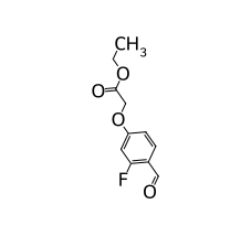 CCOC(=O)COc1ccc(C=O)c(F)c1